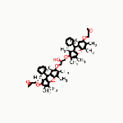 Cc1c(C)c2c(c(C)c1OCC(O)COc1c(C)c(C)c3c(c1C)C(c1ccccc1)c1c(C)c(OCC4CO4)c(C)c(C)c1O3)C(c1ccccc1)c1c(C)c(OCC3CO3)c(C)c(C)c1O2